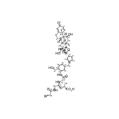 C[C@]12C=CC(=O)C=C1CC[C@@H]1[C@@H]2[C@@H](O)C[C@@]2(C)[C@H]1C[C@H]1O[C@@H](c3ccn(Cc4ccc(CO)c(NC(=O)[C@H](CCC(=O)O)NC(=O)CNC(=O)CBr)c4)c3)O[C@]12C(=O)CO